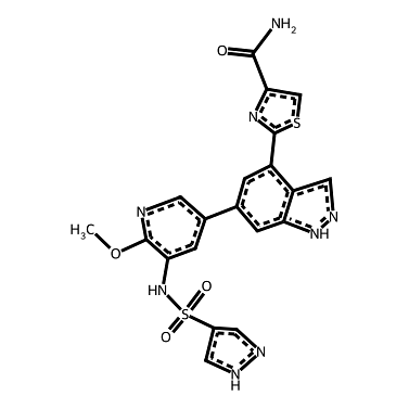 COc1ncc(-c2cc(-c3nc(C(N)=O)cs3)c3cn[nH]c3c2)cc1NS(=O)(=O)c1cn[nH]c1